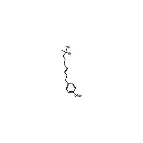 CCC(C)(O)CCCC=CCCc1ccc(OC)cc1